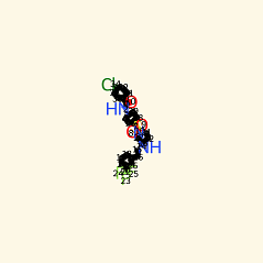 O=C(Nc1ccc(S(=O)(=O)N2CCC(NCCc3cccc(C(F)(F)F)c3)C2)cc1)c1ccc(Cl)cc1